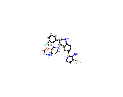 Cc1ccnc(-c2ccc3ncc(-c4cccc(F)c4)c(N4CCC5NCCO[C@H]5C4)c3c2)c1N